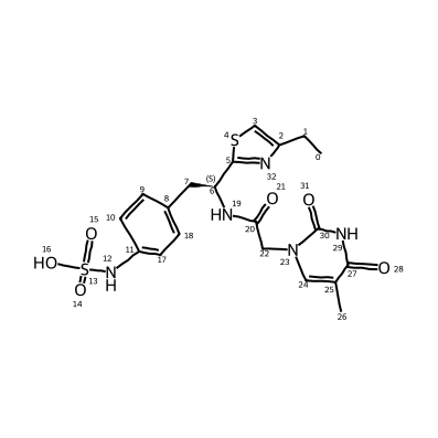 CCc1csc([C@H](Cc2ccc(NS(=O)(=O)O)cc2)NC(=O)Cn2cc(C)c(=O)[nH]c2=O)n1